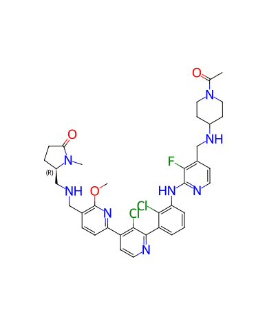 COc1nc(-c2ccnc(-c3cccc(Nc4nccc(CNC5CCN(C(C)=O)CC5)c4F)c3Cl)c2Cl)ccc1CNC[C@H]1CCC(=O)N1C